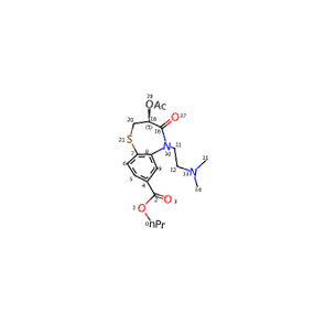 CCCOC(=O)c1ccc2c(c1)N(CCN(C)C)C(=O)[C@H](OC(C)=O)CS2